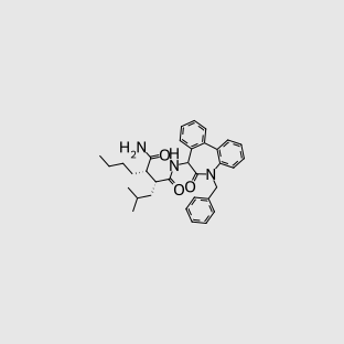 CCCC[C@H](C(N)=O)[C@@H](CC(C)C)C(=O)NC1C(=O)N(Cc2ccccc2)c2ccccc2-c2ccccc21